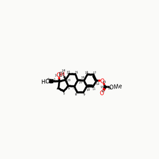 C#CC1(O)CCC2C3CCC4=CC(OC(=O)OC)=CCC4C3CCC21CC